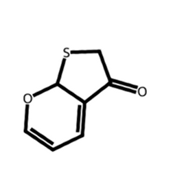 O=C1CSC2OC=CC=C12